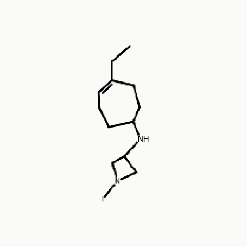 CCC1=CCCC(NC2CN(I)C2)CC1